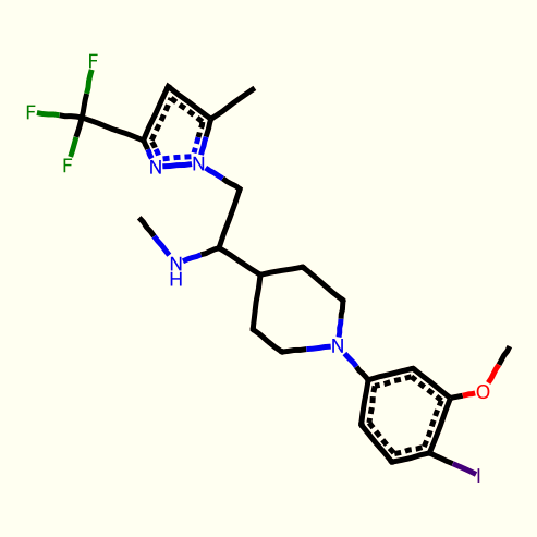 CNC(Cn1nc(C(F)(F)F)cc1C)C1CCN(c2ccc(I)c(OC)c2)CC1